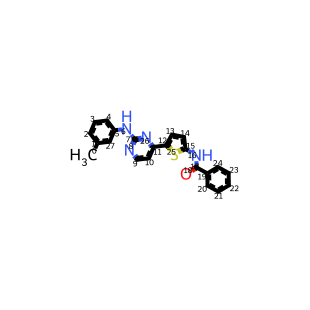 Cc1cccc(Nc2nccc(-c3ccc(NC(=O)c4ccccc4)s3)n2)c1